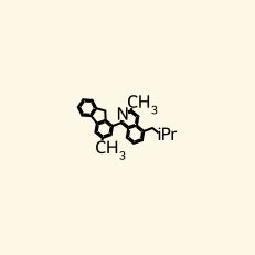 Cc1cc2c(c(-c3nc(C)cc4c(CC(C)C)cccc34)c1)Cc1ccccc1-2